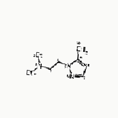 CCN(CC)CCn1nc[c]c1C